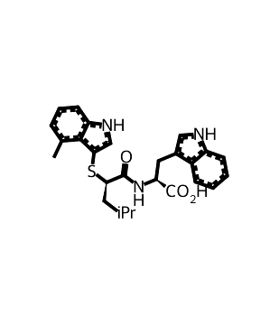 Cc1cccc2[nH]cc(S[C@H](CC(C)C)C(=O)N[C@@H](Cc3c[nH]c4ccccc34)C(=O)O)c12